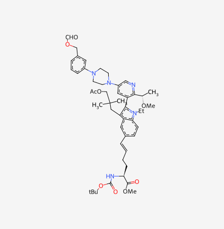 CCn1c(-c2cc(N3CCN(c4cccc(COC=O)c4)CC3)cnc2[C@H](C)OC)c(CC(C)(C)COC(C)=O)c2cc(/C=C/CC[C@H](NC(=O)OC(C)(C)C)C(=O)OC)ccc21